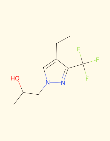 CCc1cn(CC(C)O)nc1C(F)(F)F